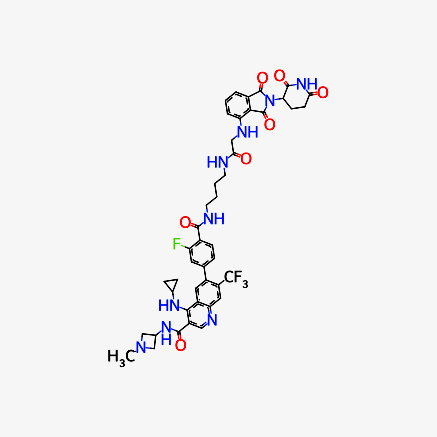 CN1CC(NC(=O)c2cnc3cc(C(F)(F)F)c(-c4ccc(C(=O)NCCCCNC(=O)CNc5cccc6c5C(=O)N(C5CCC(=O)NC5=O)C6=O)c(F)c4)cc3c2NC2CC2)C1